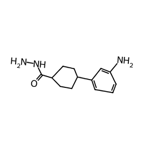 NNC(=O)C1CCC(c2cccc(N)c2)CC1